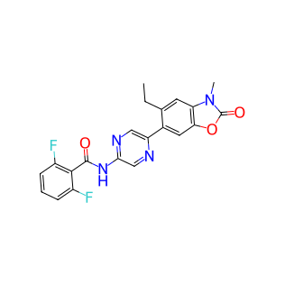 CCc1cc2c(cc1-c1cnc(NC(=O)c3c(F)cccc3F)cn1)oc(=O)n2C